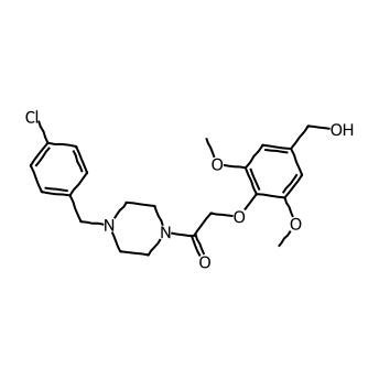 COc1cc(CO)cc(OC)c1OCC(=O)N1CCN(Cc2ccc(Cl)cc2)CC1